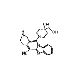 CC1(CO)CCN(c2c3c(c(C#N)c4nc5ccccc5n24)CCNC3)CC1